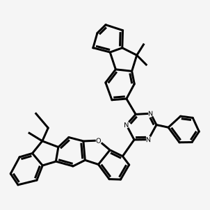 CCC1(C)c2ccccc2-c2cc3c(cc21)oc1c(-c2nc(-c4ccccc4)nc(-c4ccc5c(c4)C(C)(C)c4ccccc4-5)n2)cccc13